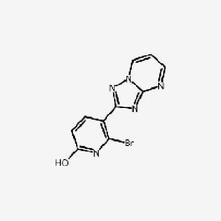 Oc1ccc(-c2nc3ncccn3n2)c(Br)n1